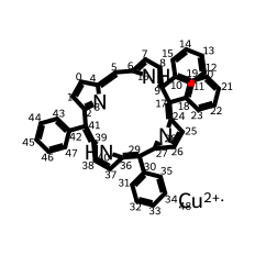 C1=CC2=NC1=CC1=CCC(c3ccccc3)(N1)C(c1ccccc1)=C1C=CC(=N1)C(c1ccccc1)=c1ccc([nH]1)=C2c1ccccc1.[Cu+2]